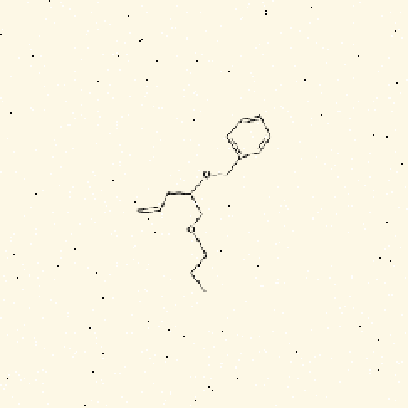 C=CCC(COCCC)OCc1ccccc1